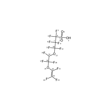 O=S(=O)(O)C(F)(F)C(F)(F)C(F)(F)OC(F)C(F)(F)OC(F)=C(F)F